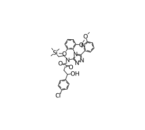 COc1cccc(-c2nnc(N(CC[Si](C)(C)C)S(=O)(=O)CC(O)c3ccc(Cl)cc3)n2-c2c(OC)cccc2OC)n1